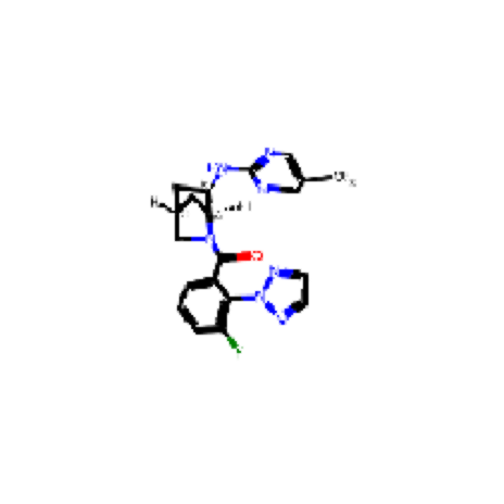 O=C(c1cccc(F)c1-n1nccn1)N1C[C@@H]2C[C@@H](Nc3ncc(C(F)(F)F)cn3)[C@@H]1C2